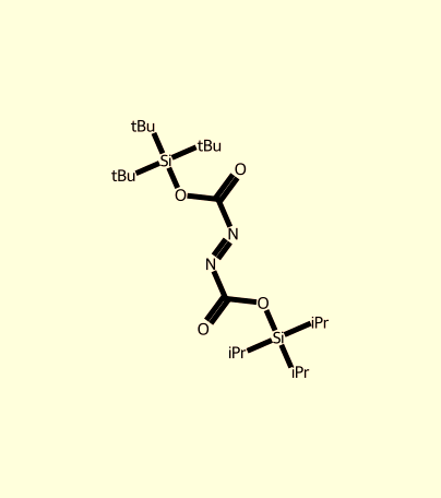 CC(C)[Si](OC(=O)/N=N/C(=O)O[Si](C(C)(C)C)(C(C)(C)C)C(C)(C)C)(C(C)C)C(C)C